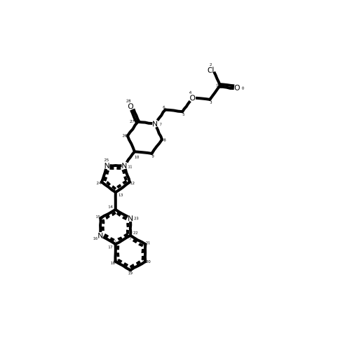 O=C(Cl)COCCN1CCC(n2cc(-c3cnc4ccccc4n3)cn2)CC1=O